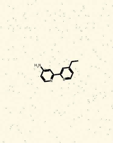 CCc1ccbc(-c2cc(N)ccn2)c1